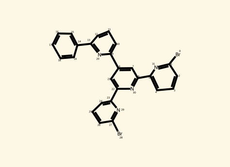 Brc1cccc(-c2cc(-c3cccc(-c4ccccc4)n3)cc(-c3cccc(Br)n3)n2)n1